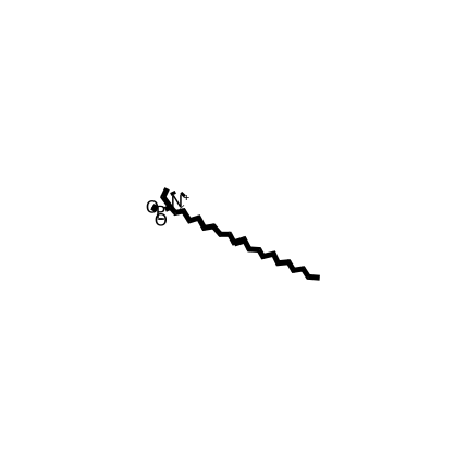 CCCCCCCCCCC=CCCCCCCCCC(CC)(P(=O)=O)[N+](C)(C)C